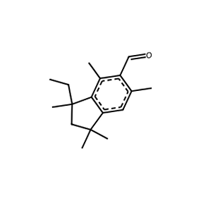 CCC1(C)CC(C)(C)c2cc(C)c(C=O)c(C)c21